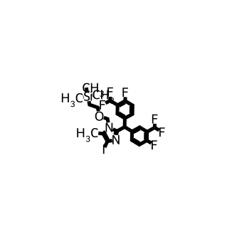 Cc1c(I)nc(C(c2ccc(F)c(C(F)F)c2)c2ccc(F)c(C(F)F)c2)n1COCC[Si](C)(C)C